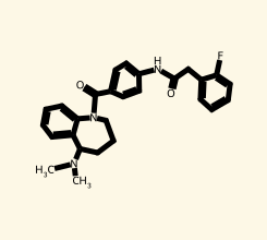 CN(C)C1CCCN(C(=O)c2ccc(NC(=O)Cc3ccccc3F)cc2)c2ccccc21